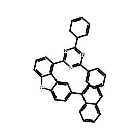 C1=CCC(c2nc(-c3ccccc3)nc(-c3cccc4oc5ccc(-c6cccc7ccccc67)cc5c34)n2)C=C1